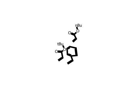 C=CC(=O)OC(C)(C)C.C=CC(=O)OCCCC.C=Cc1ccccc1